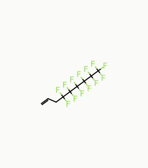 C=CCC(F)(F)C(F)(F)C(F)(F)C(F)(F)C(F)(F)C(F)(F)F